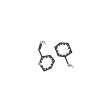 C=Cc1ccccn1.Nc1ccccc1